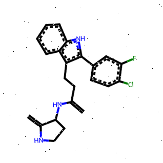 C=C(CCc1c(-c2ccc(Cl)c(F)c2)[nH]c2ccccc12)NC1CCNC1=C